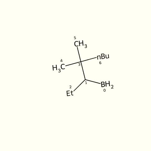 BC(CC)C(C)(C)CCCC